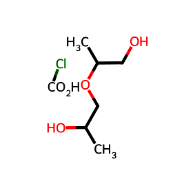 CC(O)COC(C)CO.O=C(O)Cl